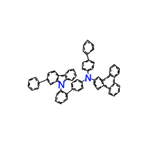 c1ccc(-c2ccc(N(c3ccc(-c4ccccc4-n4c5ccccc5c5ccc(-c6ccccc6)cc54)cc3)c3ccc4c5ccccc5c5ccccc5c4c3)cc2)cc1